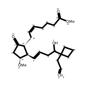 C=CCC1(C(O)C/C=C/[C@H]2[C@H](OC)CC(=O)[C@@H]2C/C=C\CCCC(=O)OC)CCC1